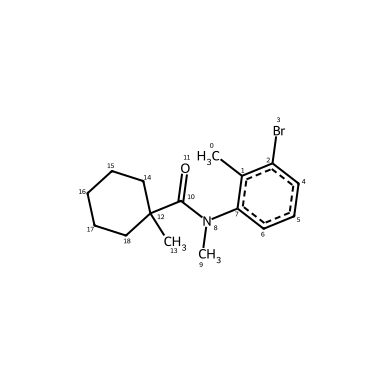 Cc1c(Br)cccc1N(C)C(=O)C1(C)CCCCC1